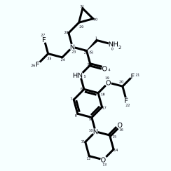 NC[C@@H](C(=O)Nc1ccc(N2CCOCC2=O)cc1OC(F)F)N(CC(F)F)CC1CC1